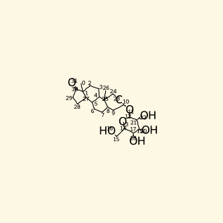 CC12CCC3C(CCC4C[C@H](O[C@@H]5OC(CO)[C@H](O)C(O)[C@@H]5O)CCC43C)C1CCC2=O